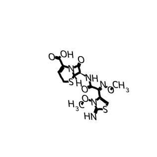 CON=C(C(=O)N[C@@H]1C(=O)N2C(C(=O)O)=CCS[C@@H]12)c1csc(=N)n1OC